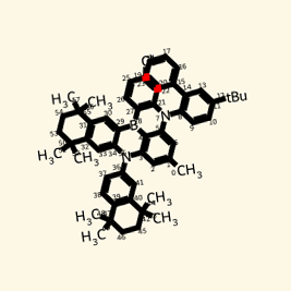 Cc1cc2c3c(c1)N(c1ccc(C(C)(C)C)cc1-c1ccccc1)c1cc(Cl)ccc1B3c1cc3c(cc1N2c1ccc2c(c1)C(C)(C)CCC2(C)C)C(C)(C)CCC3(C)C